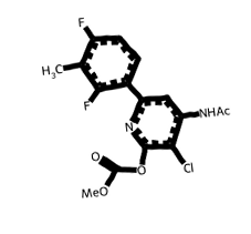 COC(=O)Oc1nc(-c2ccc(F)c(C)c2F)cc(NC(C)=O)c1Cl